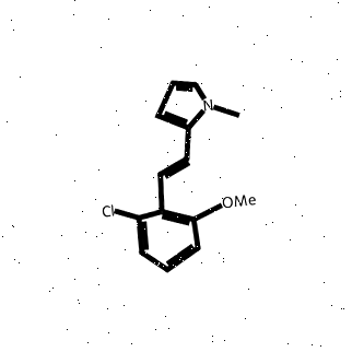 COc1cccc(Cl)c1C=Cc1cccn1C